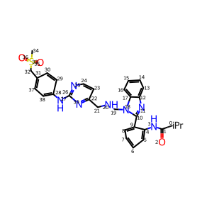 CC(C)C(=O)Nc1ccccc1-c1nc2ccccc2n1CNCc1ccnc(Nc2ccc(CS(C)(=O)=O)cc2)n1